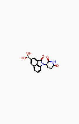 O=C1CCC(N2C(=O)c3cc(B(O)O)cc4cccc2c34)C(=O)N1